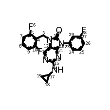 O=c1n(Cc2c(F)cccc2F)c2cnc(NC3CC3)nc2n1-c1cccc(F)c1